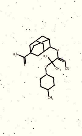 CC1CCC(OC(C)(C)/C(=N\C#N)NC2C3CC4CC2CC(C(N)=O)(C4)C3)CC1